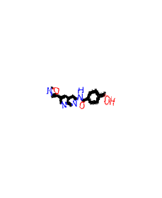 O=C(Nc1cc2cc(-c3cnco3)cnc2cn1)C1CCC(CO)CC1